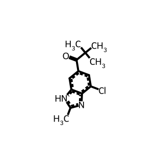 Cc1nc2c(Cl)cc(C(=O)C(C)(C)C)cc2[nH]1